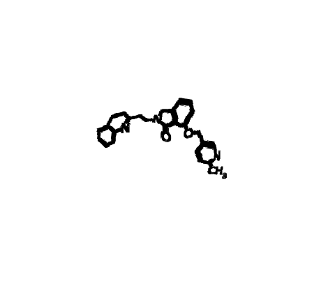 Cc1ccc(COc2cccc3c2C(=O)N(CCc2ccc4ccccc4n2)C3)cn1